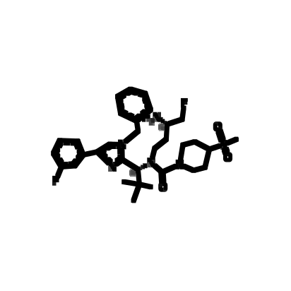 CC(C)(C)[C@H](c1nc(-c2cccc(F)c2)cn1Cc1ccccc1)N(CC[C@H](N)CF)C(=O)N1CCC(S(C)(=O)=O)CC1